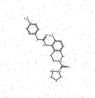 Cc1ccc2c(c1NC(=O)Cc1ccc(C(F)(F)F)cc1)CCN(C(=O)[C@H]1CCCN1)C2